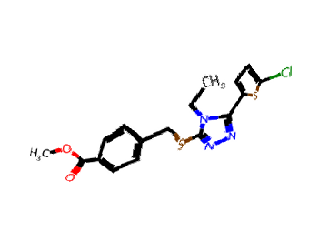 CCn1c(SCc2ccc(C(=O)OC)cc2)nnc1-c1ccc(Cl)s1